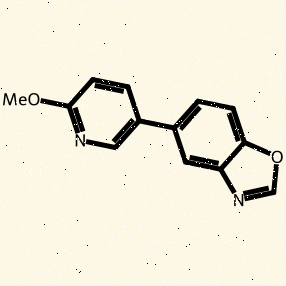 COc1ccc(-c2ccc3ocnc3c2)cn1